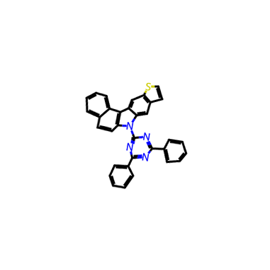 c1ccc(-c2nc(-c3ccccc3)nc(-n3c4cc5ccsc5cc4c4c5ccccc5ccc43)n2)cc1